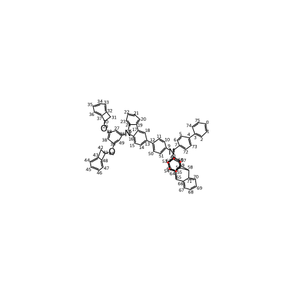 c1ccc(-c2ccc(N(c3ccc(-c4ccc5c(c4)c4ccccc4n5-c4cc(OC5Cc6ccccc65)cc(OC5Cc6ccccc65)c4)cc3)c3ccc4c(c3)C3c5ccccc5C4c4ccccc43)cc2)cc1